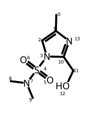 Cc1cn(S(=O)(=O)N(C)C)c(CO)n1